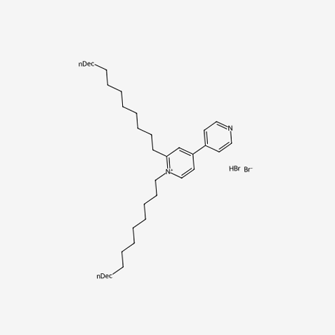 Br.CCCCCCCCCCCCCCCCCCc1cc(-c2ccncc2)cc[n+]1CCCCCCCCCCCCCCCCCC.[Br-]